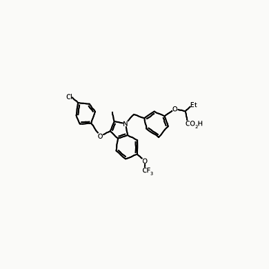 CCC(Oc1cccc(Cn2c(C)c(Oc3ccc(Cl)cc3)c3ccc(OC(F)(F)F)cc32)c1)C(=O)O